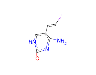 Nc1nc(=O)[nH]cc1C=CI